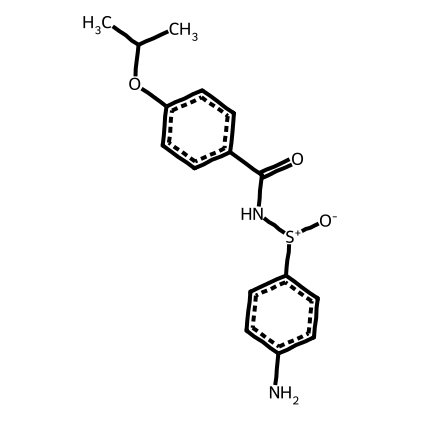 CC(C)Oc1ccc(C(=O)N[S+]([O-])c2ccc(N)cc2)cc1